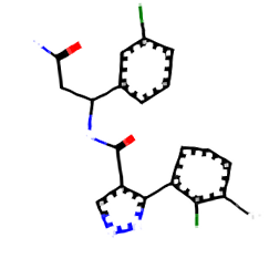 CCC(C)c1cccc(-c2n[nH]cc2C(=O)NC(CC(N)=O)c2cccc(Cl)c2)c1F